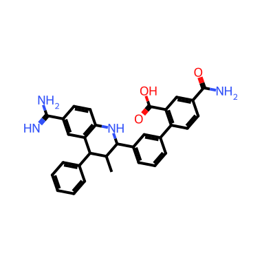 CC1C(c2cccc(-c3ccc(C(N)=O)cc3C(=O)O)c2)Nc2ccc(C(=N)N)cc2C1c1ccccc1